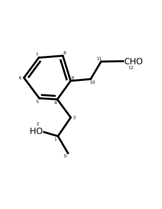 CC(O)Cc1ccccc1CCC=O